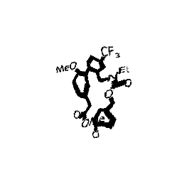 CCN(Cc1cc(C(F)(F)F)ccc1-c1cc(CC(=O)OC)ccc1OC)C(=O)OCc1ccc(Cl)cc1